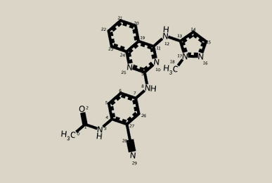 CC(=O)Nc1ccc(Nc2nc(Nc3ccnn3C)c3ccccc3n2)cc1C#N